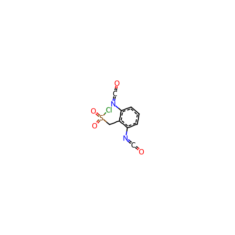 O=C=Nc1cccc(N=C=O)c1CS(=O)(=O)Cl